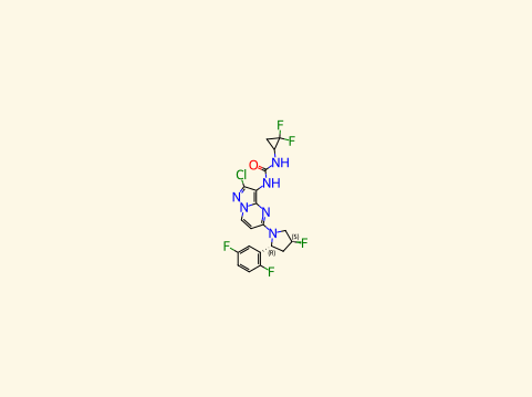 O=C(Nc1c(Cl)nn2ccc(N3C[C@@H](F)C[C@@H]3c3cc(F)ccc3F)nc12)NC1CC1(F)F